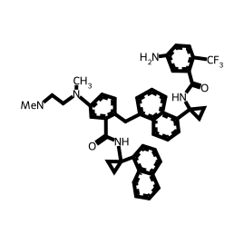 CNCCN(C)c1ccc(Cc2cccc3c(C4(NC(=O)c5cc(N)ccc5C(F)(F)F)CC4)cccc23)c(C(=O)NC2(c3cccc4ccccc34)CC2)c1